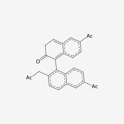 CC(=O)Cc1ccc2cc(C(C)=O)ccc2c1C1=c2ccc(C(C)=O)cc2=CCC1=O